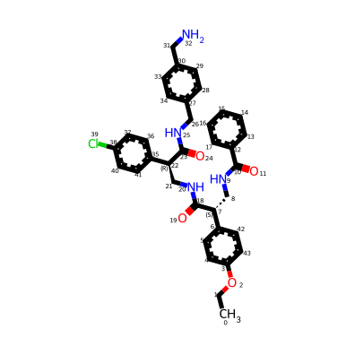 CCOc1ccc([C@@H](CNC(=O)c2ccccc2)C(=O)NC[C@H](C(=O)NCc2ccc(CN)cc2)c2ccc(Cl)cc2)cc1